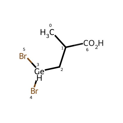 CC([CH2][GeH]([Br])[Br])C(=O)O